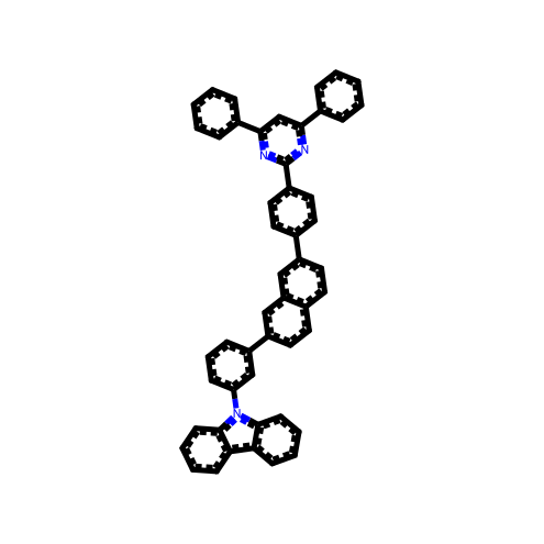 c1ccc(-c2cc(-c3ccccc3)nc(-c3ccc(-c4ccc5ccc(-c6cccc(-n7c8ccccc8c8ccccc87)c6)cc5c4)cc3)n2)cc1